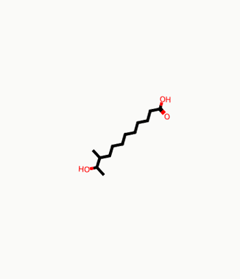 CC(O)C(C)CCCCCCCCC(=O)O